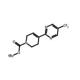 CC(C)(C)OC(=O)N1CC=C(c2ncc(C(F)(F)F)cn2)CC1